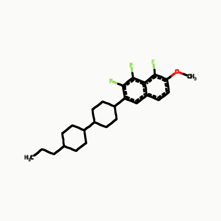 CCCC1CCC(C2CCC(c3cc4ccc(OC)c(F)c4c(F)c3F)CC2)CC1